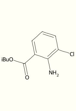 CC(C)COC(=O)c1cccc(Cl)c1N